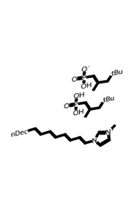 CC(CC(C)(C)C)CP(=O)(O)O.CC(CC(C)(C)C)CP(=O)([O-])O.CCCCCCCCCCCCCCCCCCn1cc[n+](C)c1